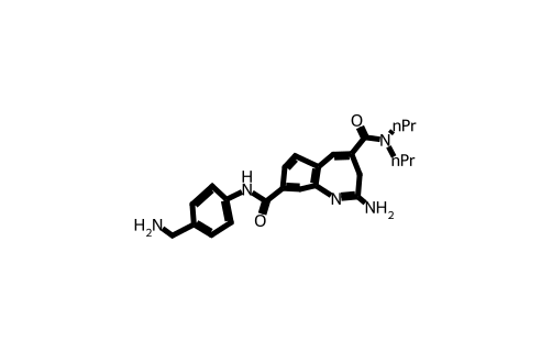 CCCN(CCC)C(=O)C1=Cc2ccc(C(=O)Nc3ccc(CN)cc3)cc2N=C(N)C1